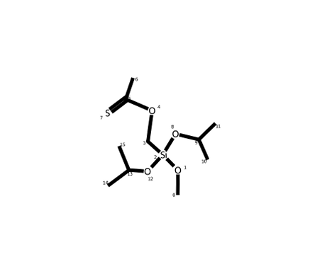 CO[Si](COC(C)=S)(OC(C)C)OC(C)C